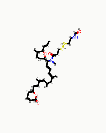 C/C=C/C1OC(C(/C=C/C=C(\C)CC(C)/C=C(C)\C=C\C2CC=CC(=O)O2)N(C)C(=O)CCSSCCNC=O)CCC1C